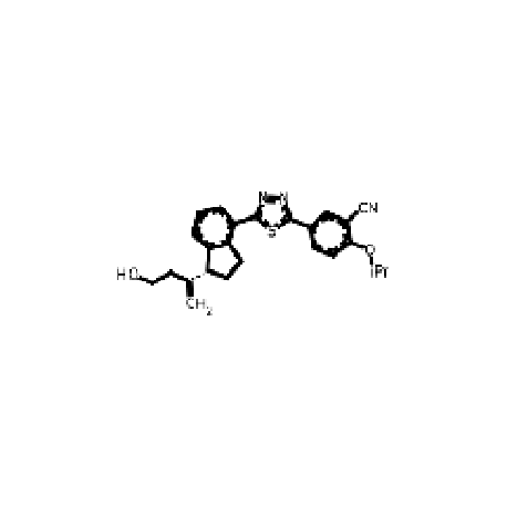 C=C(CCO)[C@H]1CCc2c(-c3nnc(-c4ccc(OC(C)C)c(C#N)c4)s3)cccc21